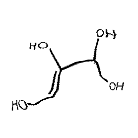 OC=C(O)[C](O)O